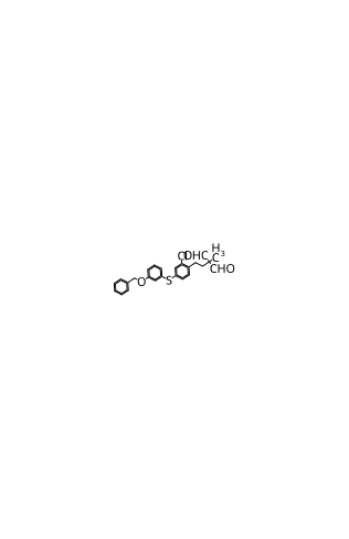 CC(C=O)(C=O)CCc1ccc(Sc2cccc(OCc3ccccc3)c2)cc1Cl